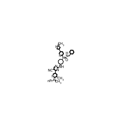 CCCN(C)c1ncc(-c2nc(NN3CCCC(N(C(=O)NCc4ccccc4)c4ccc(-c5cnn(C)c5)cn4)CC3)ncc2C#N)cc1C